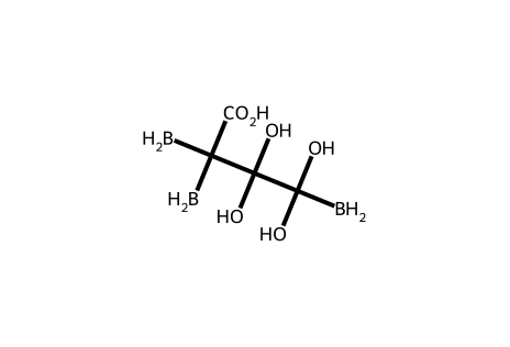 BC(O)(O)C(O)(O)C(B)(B)C(=O)O